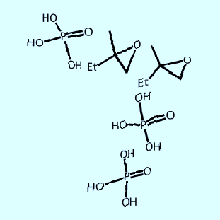 CCC1(C)CO1.CCC1(C)CO1.O=P(O)(O)O.O=P(O)(O)O.O=P(O)(O)O